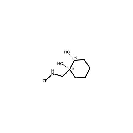 O[C@@H]1CCCC[C@@]1(O)CNCl